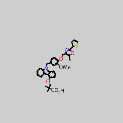 COc1cc(Cn2c3ccccc3c3c(OCC(C)(C)C(=O)O)cccc32)ccc1OCc1nc(C2CC=CS2)oc1C